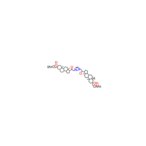 COC[C@@]1(O)CC[C@@]2(C)C(CCC3C2CC[C@@]2(C)C3CC[C@@H]2C(=O)CN2C=CN(CC(=O)[C@H]3CCC4C5CC[C@H]6C[C@@](O)(COC)CC[C@]6(C)C5CC[C@@]43C)C2)C1